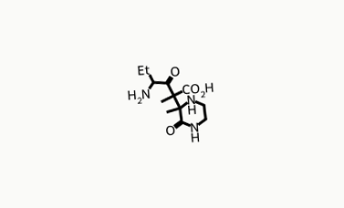 CCC(N)C(=O)C(C)(C(=O)O)C1(C)NCCNC1=O